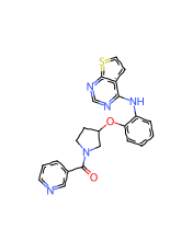 O=C(c1cccnc1)N1CCC(Oc2ccccc2Nc2ncnc3sccc23)C1